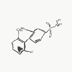 CCCNS(=O)(=O)c1ccc(-c2c(O)cccc2Cl)c(C(C)C)c1